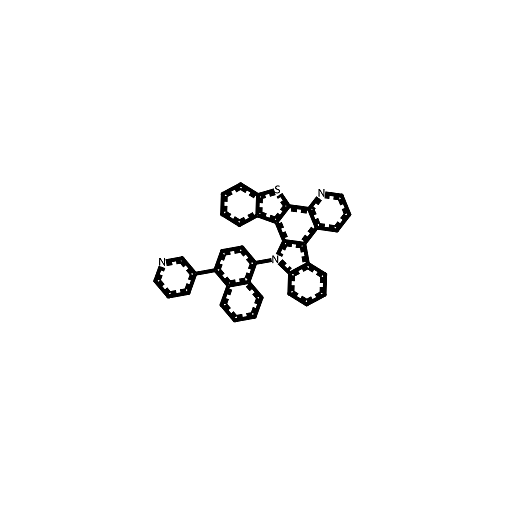 c1cncc(-c2ccc(-n3c4ccccc4c4c5cccnc5c5sc6ccccc6c5c43)c3ccccc23)c1